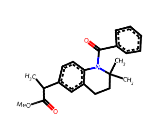 COC(=O)C(C)c1ccc2c(c1)CCC(C)(C)N2C(=O)c1ccccc1